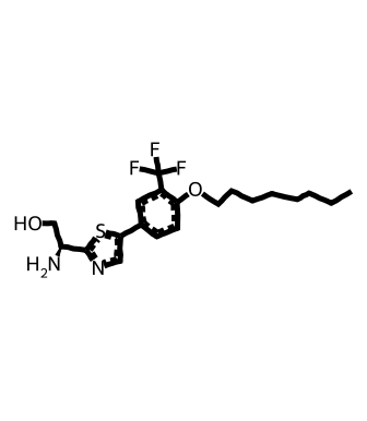 CCCCCCCCOc1ccc(-c2cnc([C@@H](N)CO)s2)cc1C(F)(F)F